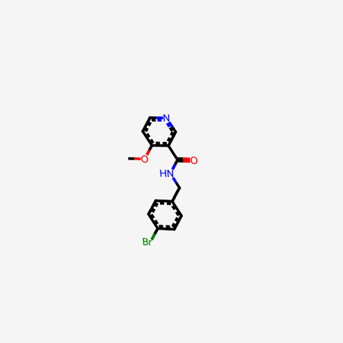 COc1ccncc1C(=O)NCc1ccc(Br)cc1